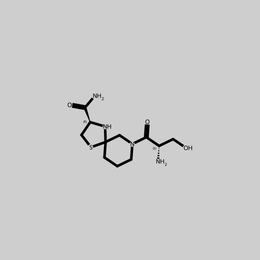 NC(=O)[C@@H]1CSC2(CCCN(C(=O)[C@@H](N)CO)C2)N1